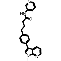 O=C(CCCc1ccc(-c2c[nH]c3ncccc23)cc1)Nc1cccnc1